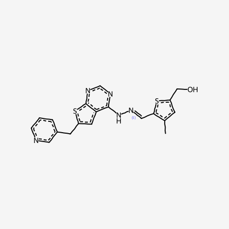 Cc1cc(CO)sc1/C=N/Nc1ncnc2sc(Cc3cccnc3)cc12